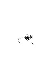 CCCCC/C=C\C/C=C\CCCCCCCCOC(=O)C(CCCN(C)C)C(=O)OCCCCCCCCCCCC